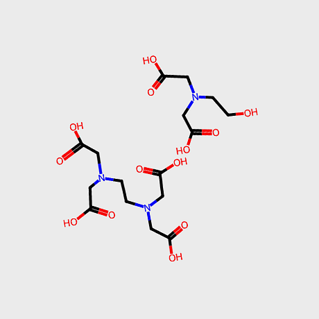 O=C(O)CN(CCN(CC(=O)O)CC(=O)O)CC(=O)O.O=C(O)CN(CCO)CC(=O)O